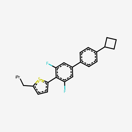 CC(C)Cc1ccc(-c2c(F)cc(-c3ccc(C4CCC4)cc3)cc2F)s1